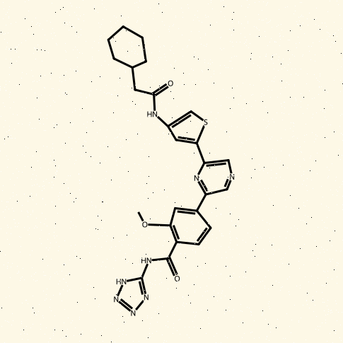 COc1cc(-c2cncc(-c3cc(NC(=O)CC4CCCCC4)cs3)n2)ccc1C(=O)Nc1nnn[nH]1